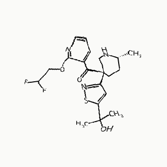 C[C@@H]1CC[C@](C(=O)c2cccnc2OCC(F)F)(c2cc(C(C)(C)O)sn2)CN1